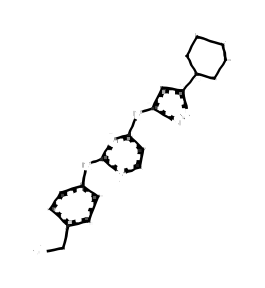 N#CCc1ccc(Nc2nccc(Nc3cc(C4CCCCC4)n[nH]3)n2)cc1